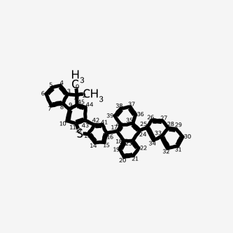 CC1(C)c2ccccc2-c2cc3sc4ccc(-c5c6ccccc6c(-c6ccc7ccccc7c6)c6ccccc56)cc4c3cc21